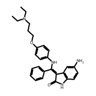 CCN(CC)CCCOc1ccc(NC(=C2C(=O)Nc3ccc(N)cc32)c2ccccc2)cc1